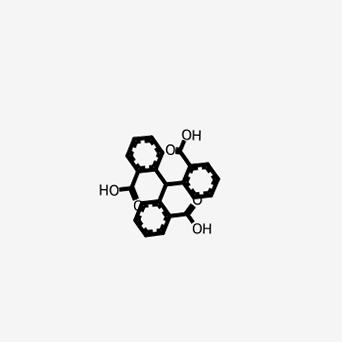 O=C(O)c1ccccc1C(c1ccccc1C(=O)O)c1ccccc1C(=O)O